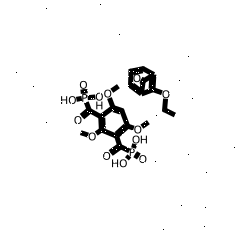 CCOc1c2cccc1C2=O.COc1cc(OC)c(C(=O)P(=O)(O)O)c(OC)c1C(=O)P(=O)(O)O